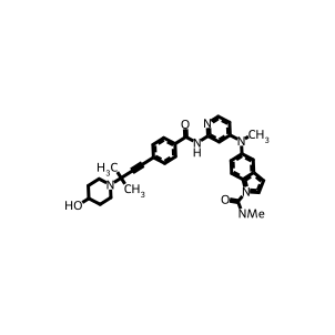 CNC(=O)n1ccc2cc(N(C)c3ccnc(NC(=O)c4ccc(C#CC(C)(C)N5CCC(O)CC5)cc4)c3)ccc21